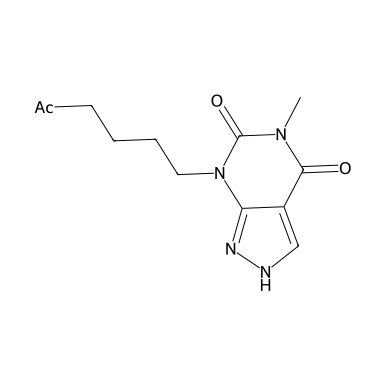 CC(=O)CCCCn1c(=O)n(C)c(=O)c2c[nH]nc21